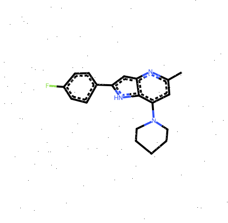 Cc1cc(N2CCCCC2)c2[nH]c(-c3ccc(F)cc3)cc2n1